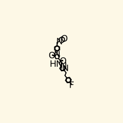 O=C(Nc1ccc(CCc2ccc(F)cc2)nn1)C1CC(=O)N(c2ccc(CN3CCOCC3)cc2)C1